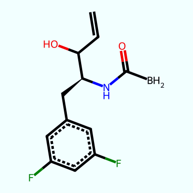 BC(=O)N[C@@H](Cc1cc(F)cc(F)c1)C(O)C=C